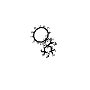 CN1C(C)(C)CC2(CC1(C)C)OC1(CCCCCCCCCCC1)NC2=O